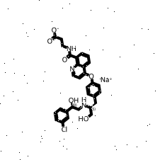 O=C([O-])CCNC(=O)c1cccc2c(Oc3ccc(C[C@@H](CO)NC[C@H](O)c4cccc(Cl)c4)cc3)ccnc12.[Na+]